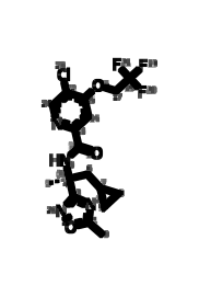 Cc1nc([C@](C)(CC2CC2)NC(=O)c2cc(OCC(F)(F)F)c(Cl)cn2)no1